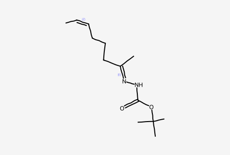 C/C=C\CCC/C(C)=N/NC(=O)OC(C)(C)C